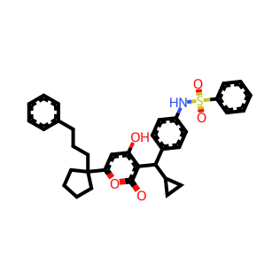 O=c1oc(C2(CCCc3ccccc3)CCCC2)cc(O)c1C(c1ccc(NS(=O)(=O)c2ccccc2)cc1)C1CC1